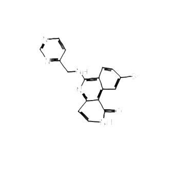 O=c1[nH]ccc2nc(NCc3ccncn3)c3ccc(Br)cc3c12